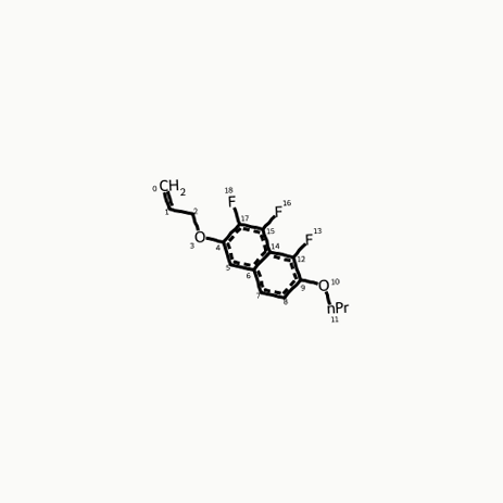 C=CCOc1cc2ccc(OCCC)c(F)c2c(F)c1F